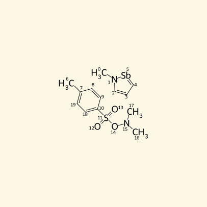 C[N]1C=C[CH]=[Sb]1.Cc1ccc(S(=O)(=O)ON(C)C)cc1